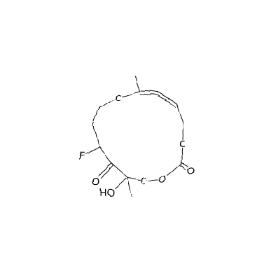 CC1=C=CCCC(=O)OCC(C)(O)C(=O)C(F)CCC1